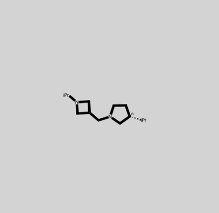 CC(C)[C@H]1CCN(CC2CN(C(C)C)C2)C1